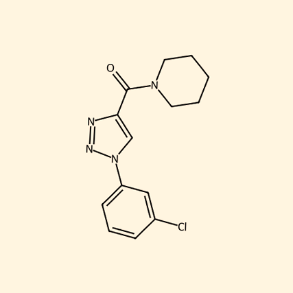 O=C(c1cn(-c2cccc(Cl)c2)nn1)N1CCCCC1